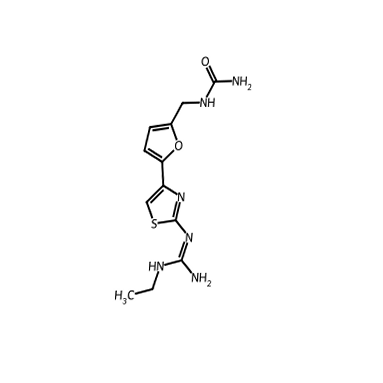 CCNC(N)=Nc1nc(-c2ccc(CNC(N)=O)o2)cs1